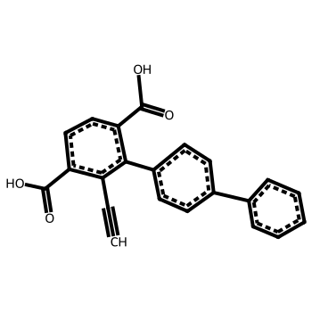 C#Cc1c(C(=O)O)ccc(C(=O)O)c1-c1ccc(-c2ccccc2)cc1